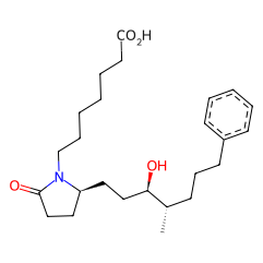 C[C@@H](CCCc1ccccc1)[C@H](O)CC[C@H]1CCC(=O)N1CCCCCCC(=O)O